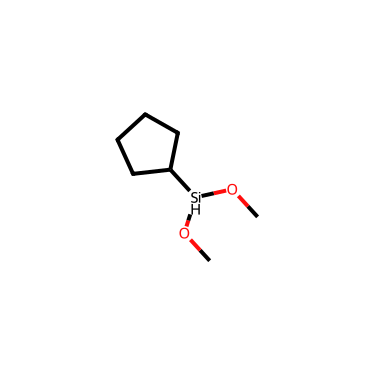 CO[SiH](OC)C1CCCC1